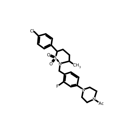 CC(=O)N1CCN(c2ccc(CN3C(C)CCC(c4ccc(Cl)cc4)S3(=O)=O)c(F)c2)CC1